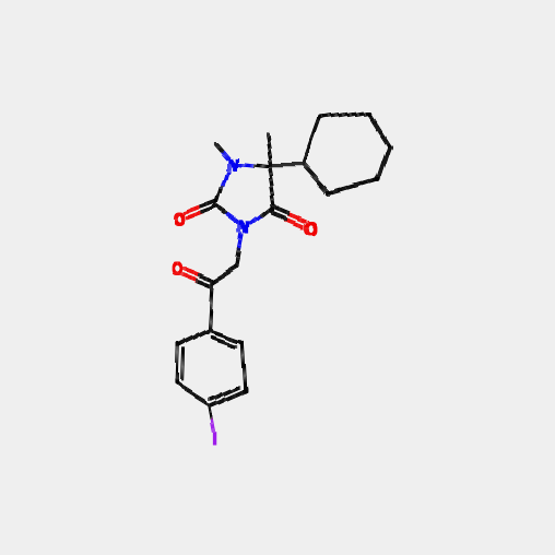 CN1C(=O)N(CC(=O)c2ccc(I)cc2)C(=O)C1(C)C1CCCCC1